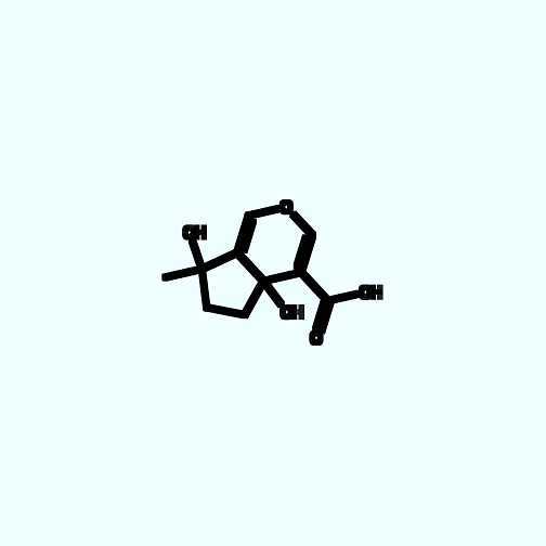 CC1(O)CCC2(O)C(C(=O)O)=COC=C12